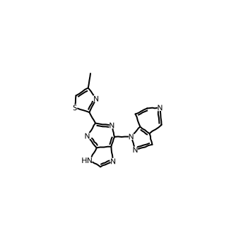 Cc1csc(-c2nc(-n3ncc4cnccc43)c3nc[nH]c3n2)n1